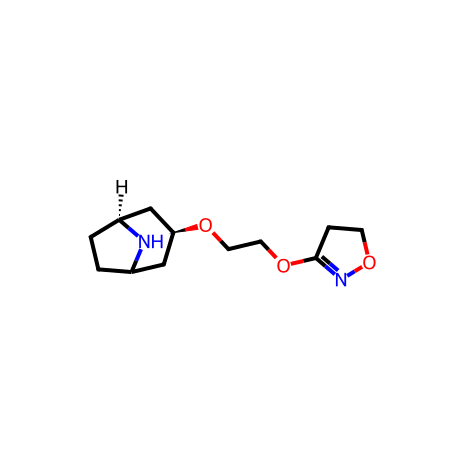 C1CC(OCCO[C@H]2CC3CC[C@@H](C2)N3)=NO1